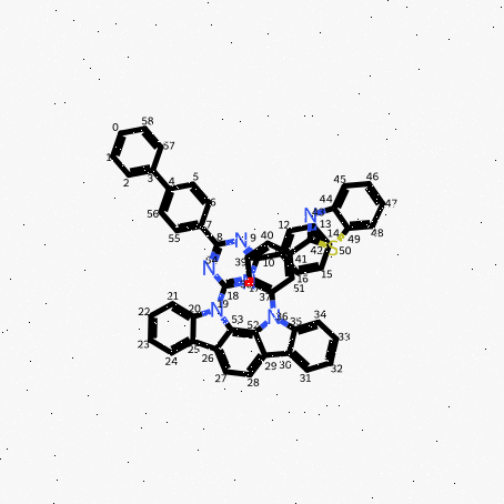 c1ccc(-c2ccc(-c3nc(-c4ccccc4)nc(-n4c5ccccc5c5ccc6c7ccccc7n(-c7cccc(-c8nc9ccccc9s8)c7)c6c54)n3)cc2)cc1